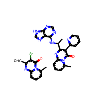 Cc1cccc2nc(C(C)Nc3ncnc4[nH]cnc34)c(-c3ccccn3)c(=O)n12.Cc1cccc2nc(C=O)c(Br)c(=O)n12